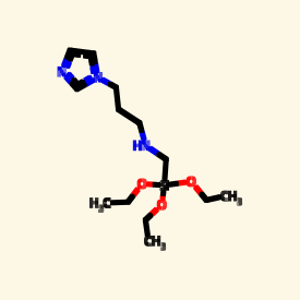 CCO[Si](CNCCCn1ccnc1)(OCC)OCC